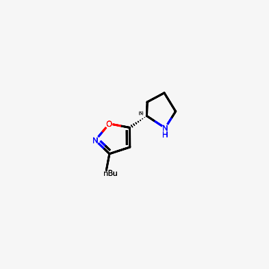 CCCCc1cc([C@@H]2CCCN2)on1